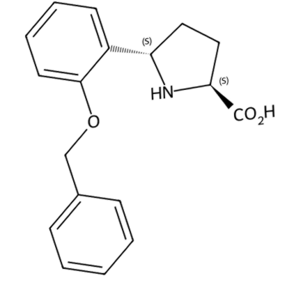 O=C(O)[C@@H]1CC[C@@H](c2ccccc2OCc2ccccc2)N1